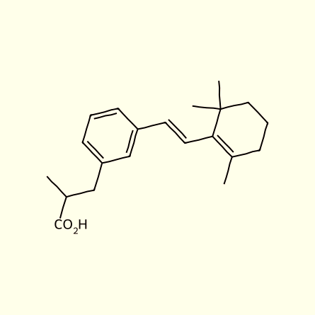 CC1=C(C=Cc2cccc(CC(C)C(=O)O)c2)C(C)(C)CCC1